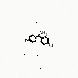 NC(c1ccc(F)cc1)c1ccc(Cl)cc1